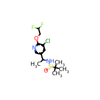 CC(N[S@+]([O-])C(C)(C)C)c1cnc(OCC(F)F)c(Cl)c1